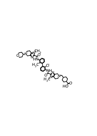 Cc1c(NC(=O)c2nc3c(n2C)CCN(C2CCOCC2)C3)cccc1-c1cccc(NC(=O)c2nc3c(n2C)CCN(CC2CCC(C(=O)O)CC2)C3)c1Cl